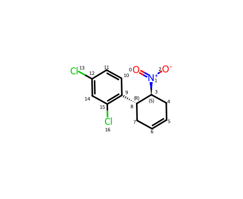 O=[N+]([O-])[C@H]1CC=CC[C@@H]1c1ccc(Cl)cc1Cl